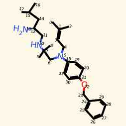 CC(C)=CCN(CC(C)(C)NC[C@@H](N)CC(C)C)c1ccc(OCc2ccccc2)cc1